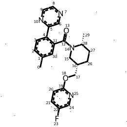 Cc1ccc(-c2cnccn2)c(C(=O)N2C[C@@H](COc3ccc(F)cn3)CC[C@H]2C)c1